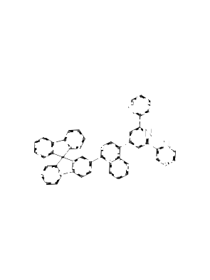 c1ccc(-c2cc(-c3ccc(-c4ccc5c(c4)C4(c6ccccc6-c6ccccc64)c4ccccc4-5)c4ccccc34)cc(-c3ccccn3)n2)nc1